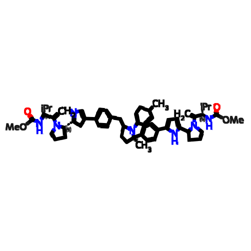 C=C([C@@H](NC(=O)OC)C(C)C)N1CCCC1c1ccc(-c2ccc([C@]3(C)CCC(Cc4ccc(C5=CN=C([C@@H]6CCCN6C(=C)[C@@H](NC(=O)OC)C(C)C)C5)cc4)N3C3=CCC(C)C=C3)cc2)[nH]1